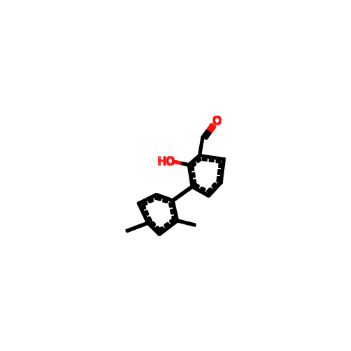 Cc1ccc(-c2cccc(C=O)c2O)c(C)c1